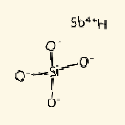 [O-][Si]([O-])([O-])[O-].[SbH+4]